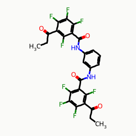 CCC(=O)c1c(F)c(F)c(F)c(C(=O)Nc2cccc(NC(=O)c3c(F)c(F)c(F)c(C(=O)CC)c3F)c2)c1F